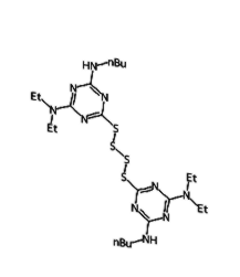 CCCCNc1nc(SSSSc2nc(NCCCC)nc(N(CC)CC)n2)nc(N(CC)CC)n1